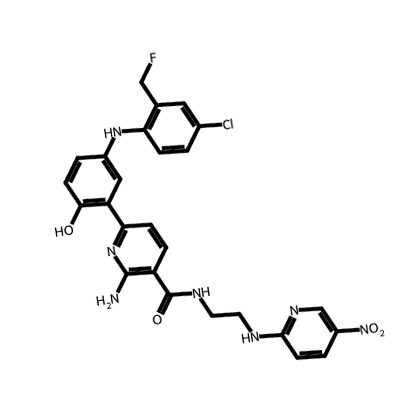 Nc1nc(-c2cc(Nc3ccc(Cl)cc3CF)ccc2O)ccc1C(=O)NCCNc1ccc([N+](=O)[O-])cn1